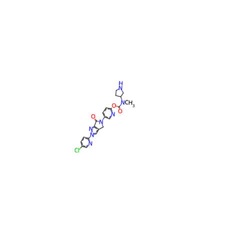 CN(C(=O)Oc1ccc(N2Cc3cn(-c4ccc(Cl)cn4)nc3C2=O)cn1)C1CCNC1